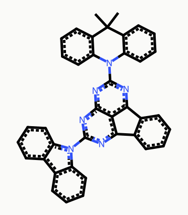 CC1(C)c2ccccc2N(c2nc3c4c(nc(-n5c6ccccc6c6ccccc65)nc4n2)-c2ccccc2-3)c2ccccc21